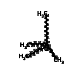 CCCCCCCCCCCCCCC(CCCCCCCC)(CCCCCCCC)C(=O)OCCCCCCCC